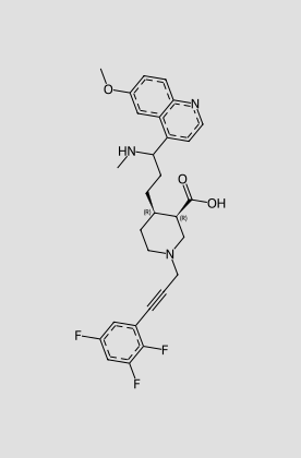 CNC(CC[C@@H]1CCN(CC#Cc2cc(F)cc(F)c2F)C[C@@H]1C(=O)O)c1ccnc2ccc(OC)cc12